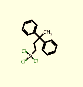 CC(CC[Si](Cl)(Cl)Cl)(c1ccccc1)c1ccccc1